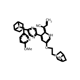 C=C/C(C#N)=C1\NC=C(OCCN2CC3CC(C2)N3)C=C1c1cnc(N2CC3CC(C2)N3Cc2ccc(OC)nc2)cn1